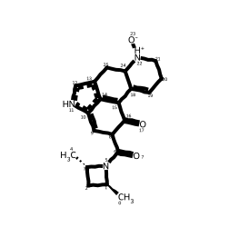 C[C@H]1C[C@H](C)N1C(=O)C1C=c2[nH]cc3c2=C(C1=O)C1=CCC[NH+]([O-])C1C3